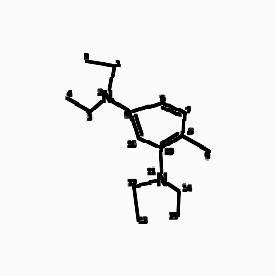 CCN(CC)c1ccc(C)c(N(CC)CC)c1